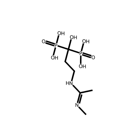 C/N=C(\C)NCCC(O)(P(=O)(O)O)P(=O)(O)O